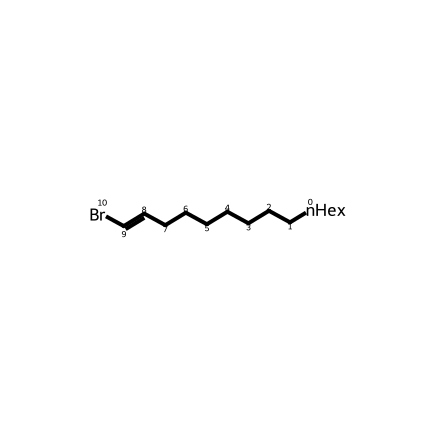 CCCCCCCCCCCCCC=CBr